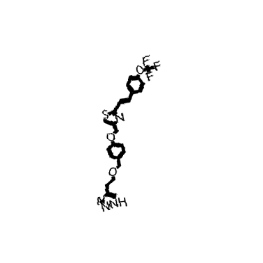 FC(F)(F)Oc1ccc(C=Cc2nc(COc3ccc(COCCc4c[nH]nn4)cc3)cs2)cc1